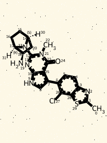 Cc1nc2ccc(-c3c[nH]c4nc(N5[C@H]6CC[C@@H]5[C@H](N)C6)n(C)c(=O)c34)c(Cl)c2s1